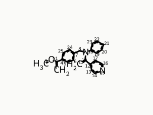 C=C(OC)c1ccc(CN(C(=C)c2ccncc2)c2ccccc2)cc1